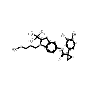 COCCCN1c2ccc(NC(=O)C3(c4ccc(O)c(O)c4)CC3)cc2CC1C(C)(C)C